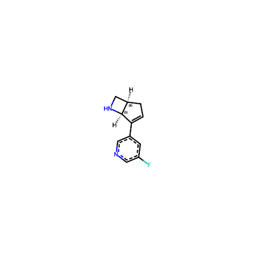 Fc1cncc(C2=CC[C@@H]3CN[C@H]23)c1